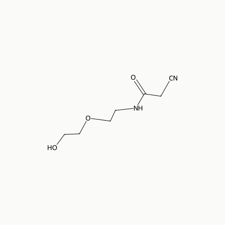 N#CCC(=O)NCCOCCO